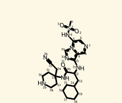 CS(=O)(=O)Nc1cncc2c(NC(CC3CCCCC3)C(=O)NC3(CC#N)CCNCC3)ncn12